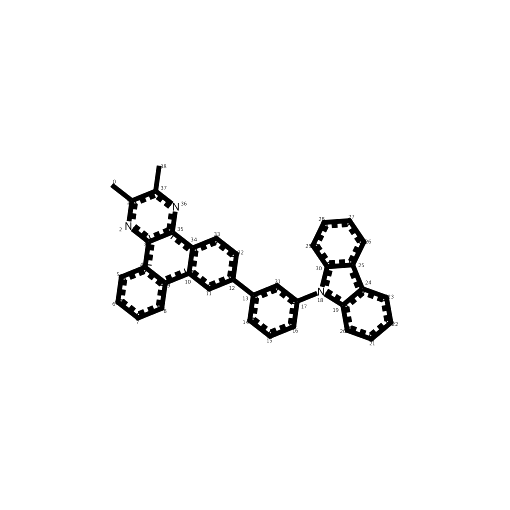 Cc1nc2c3ccccc3c3cc(-c4cccc(-n5c6ccccc6c6ccccc65)c4)ccc3c2nc1C